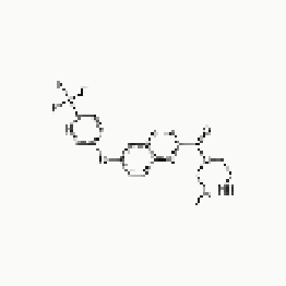 C[C@H]1CN(C(=O)c2ccc3cc(Oc4ccc(C(F)(F)F)nc4)ccc3n2)CCN1